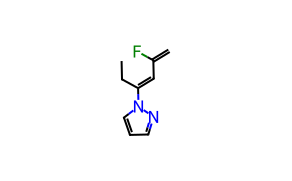 C=C(F)/C=C(\CC)n1cccn1